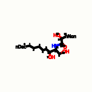 CCCCCCCCCCCCCCCC(O)C(CO)NC(=O)C(O)CCCCCCCCC